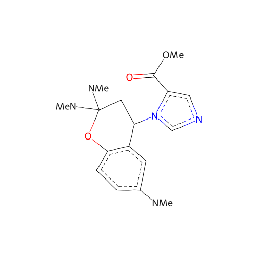 CNc1ccc2c(c1)C(n1cncc1C(=O)OC)CC(NC)(NC)O2